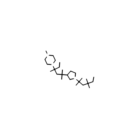 CCC(C)(C)CC(C)(C)N1CCC(C(C)(C)CC(C)(CC)N2CCN(C)CC2)C1